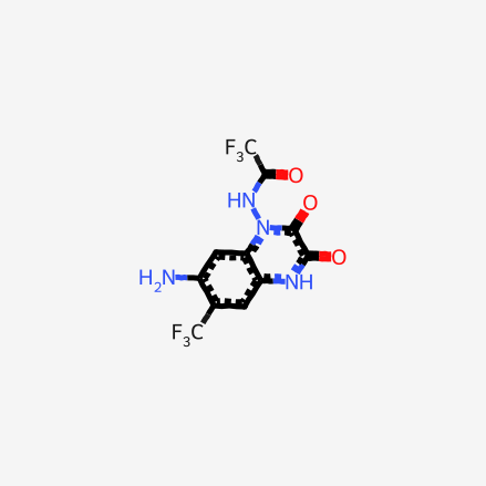 Nc1cc2c(cc1C(F)(F)F)[nH]c(=O)c(=O)n2NC(=O)C(F)(F)F